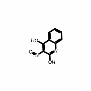 O=Nc1c(O)nc2ccccc2c1O